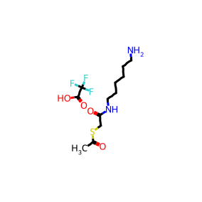 CC(=O)SCC(=O)NCCCCCCN.O=C(O)C(F)(F)F